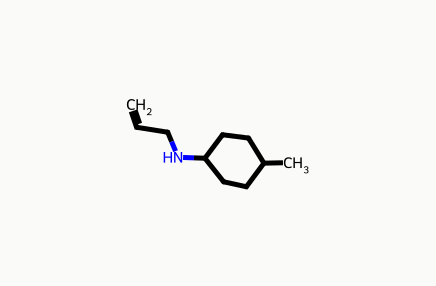 C=CCNC1CCC(C)CC1